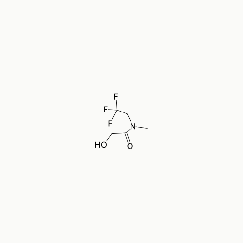 CN(CC(F)(F)F)C(=O)CO